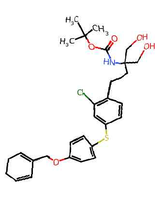 CC(C)(C)OC(=O)NC(CO)(CO)CCc1ccc(Sc2ccc(OCC3=CCCC=C3)cc2)cc1Cl